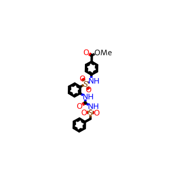 COC(=O)c1ccc(NS(=O)(=O)c2ccccc2NC(=O)NS(=O)(=O)Cc2ccccc2)cc1